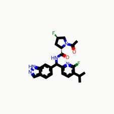 CC(=O)N1C[C@H](F)C[C@H]1C(=O)NC(c1ccc2cn[nH]c2c1)c1ccc(C(C)C)c(F)n1